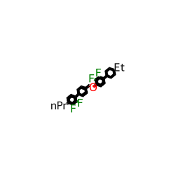 CCCc1ccc(C2C=CC(COc3ccc(C4CCC(CC)CC4)c(F)c3F)=CC2)c(F)c1F